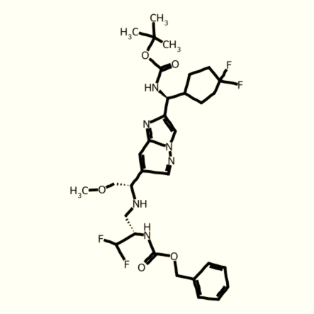 COC[C@@H](NC[C@H](NC(=O)OCc1ccccc1)C(F)F)c1cnn2cc([C@@H](NC(=O)OC(C)(C)C)C3CCC(F)(F)CC3)nc2c1